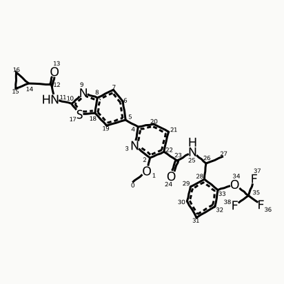 COc1nc(-c2ccc3nc(NC(=O)C4CC4)sc3c2)ccc1C(=O)NC(C)c1ccccc1OC(F)(F)F